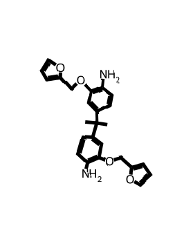 CC(C)(c1ccc(N)c(OCc2ccco2)c1)c1ccc(N)c(OCc2ccco2)c1